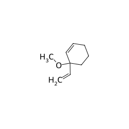 C=CC1(OC)C=CCCC1